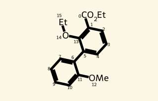 CCOC(=O)c1cccc(-c2ccccc2OC)c1OCC